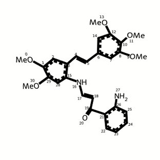 COc1cc(C=Cc2cc(OC)c(OC)c(OC)c2)c(NC=CC(=O)c2ccccc2N)cc1OC